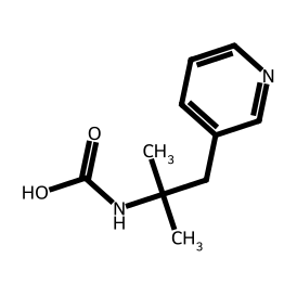 CC(C)(Cc1cccnc1)NC(=O)O